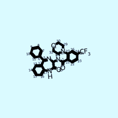 O=C(NC1N=C(c2ccccc2)c2ccccc2NC1=O)c1ccc(C(F)(F)F)cc1N1CCOCC1